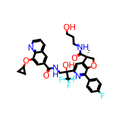 C[C@]1(C(=O)NCCCO)COc2c1cc([C@@](O)(CNC(=O)c1cc(OC3CC3)c3ncccc3c1)C(F)(F)F)nc2-c1ccc(F)cc1